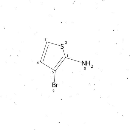 Nc1sccc1Br